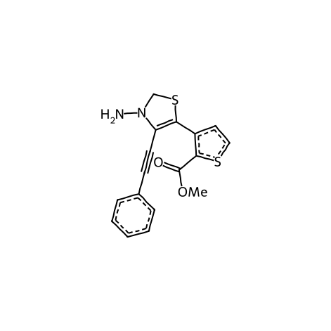 COC(=O)c1sccc1C1=C(C#Cc2ccccc2)N(N)CS1